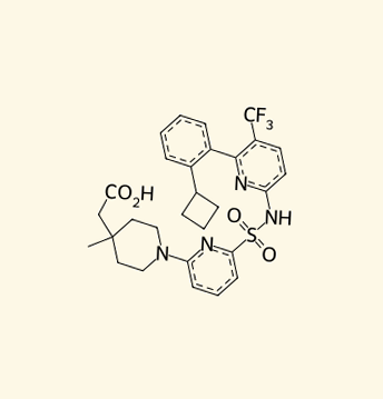 CC1(CC(=O)O)CCN(c2cccc(S(=O)(=O)Nc3ccc(C(F)(F)F)c(-c4ccccc4C4CCC4)n3)n2)CC1